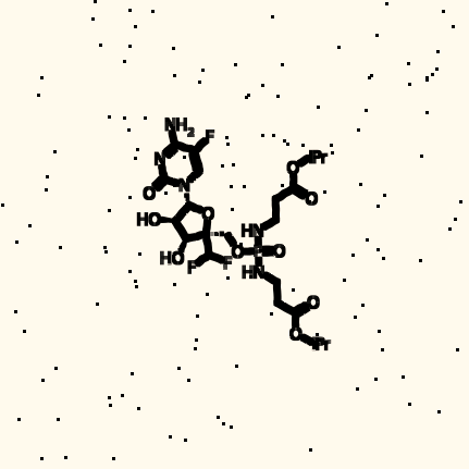 CC(C)OC(=O)CCNP(=O)(NCCC(=O)OC(C)C)OC[C@@]1(C(F)F)O[C@@H](n2cc(F)c(N)nc2=O)[C@H](O)[C@@H]1O